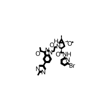 COC[C@]12C[C@@H](C(=O)Nc3cccc(Br)n3)N(C(=O)Cn3nc(C(C)=O)c4cc(-c5cnc(C)nc5)ccc43)[C@H]1[C@H]2C